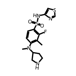 Cc1c(N(C)C2CCNC2)ccc(S(=O)(=O)Nc2cscn2)c1F